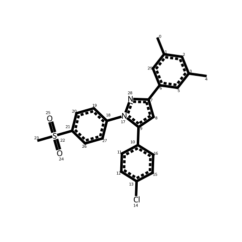 Cc1cc(C)cc(-c2cc(-c3ccc(Cl)cc3)n(-c3ccc(S(C)(=O)=O)cc3)n2)c1